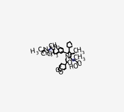 CCc1c(C2CCCCC2)c(-c2ccc3nc(/C(C)=C(\C)N=C(C)C)ccc3c2)n(CC(=O)C2CCS(=O)(=O)CC2)c1/C=C(\C)C(=O)O